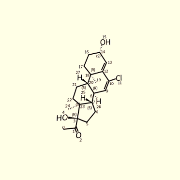 CC(=O)[C@@]1(O)CC[C@H]2[C@@H]3C=C(Cl)C4=C[C@@H](O)CC[C@]4(C)[C@H]3CC[C@@]21C